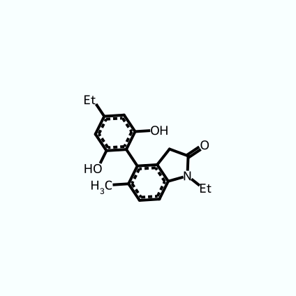 CCc1cc(O)c(-c2c(C)ccc3c2CC(=O)N3CC)c(O)c1